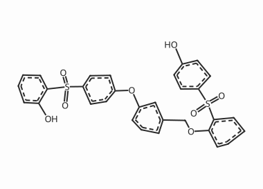 O=S(=O)(c1ccc(Oc2cccc(COc3ccccc3S(=O)(=O)c3ccc(O)cc3)c2)cc1)c1ccccc1O